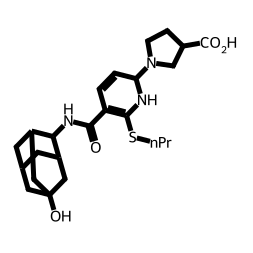 CCCSC1=C(C(=O)NC2C3CC4CC2CC(O)(C4)C3)C=CC(N2CCC(C(=O)O)C2)N1